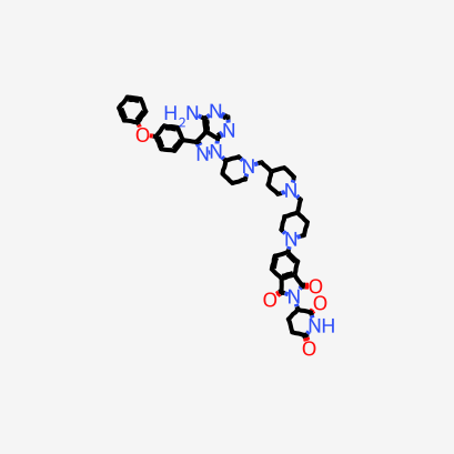 Nc1ncnc2c1c(-c1ccc(Oc3ccccc3)cc1)nn2C1CCCN(CC2CCN(CC3CCN(c4ccc5c(c4)C(=O)N(C4CCC(=O)NC4=O)C5=O)CC3)CC2)C1